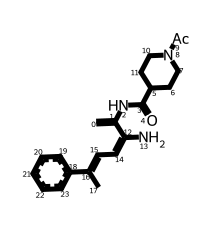 C=C(NC(=O)C1CCN(C(C)=O)CC1)/C(N)=C\C=C(/C)c1ccccc1